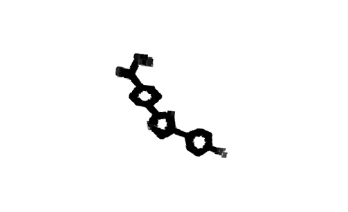 COC(=O)c1ccc(-c2nc(-c3ccc(C(F)(F)F)cc3)cs2)cc1